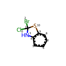 ClC1(Br)Nc2ccccc2S1